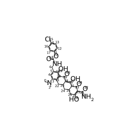 CN(C)c1cc(CNC(=O)Oc2ccc(Cl)cc2)c(O)c2c1CC1CC3CC(O)=C(C(N)=O)C(=O)C3C(O)=C1C2=O